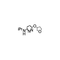 CC(C)Nc1ccc(OC2CCOC2)nn1